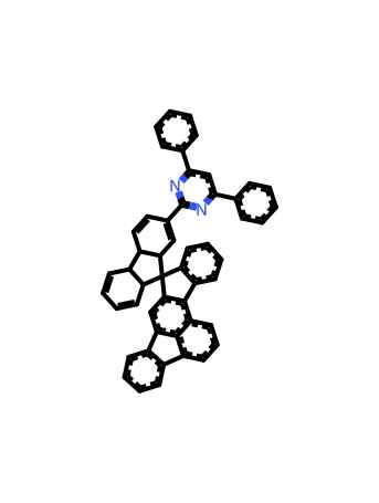 C1=CC2C3C=CC(c4nc(-c5ccccc5)cc(-c5ccccc5)n4)=CC3C3(c4ccccc4-c4c3cc3c5c(cccc45)-c4ccccc4-3)C2C=C1